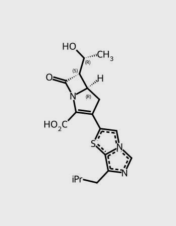 CC(C)Cc1ncn2cc(C3=C(C(=O)O)N4C(=O)[C@H]([C@@H](C)O)[C@H]4C3)sc12